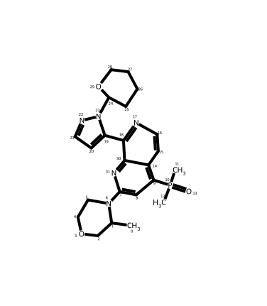 CC1COCCN1c1cc(P(C)(C)=O)c2ccnc(-c3ccnn3C3CCCCO3)c2n1